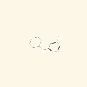 Nc1cnnc(NC2CCOCC2)c1